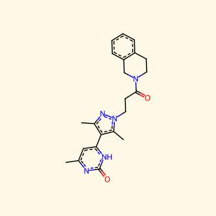 Cc1cc(-c2c(C)nn(CCC(=O)N3CCc4ccccc4C3)c2C)[nH]c(=O)n1